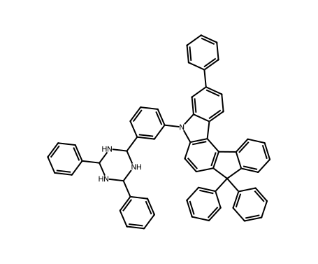 c1ccc(-c2ccc3c4c5c(ccc4n(-c4cccc(C6NC(c7ccccc7)NC(c7ccccc7)N6)c4)c3c2)C(c2ccccc2)(c2ccccc2)c2ccccc2-5)cc1